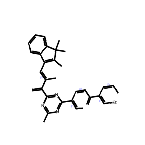 C=C(/C=C\C(=C/C)c1nc(C)nc(C(=C)/C(C)=C/C2=C(C)C(C)(C)c3ccccc32)n1)C(/C=C\C)=C/CC